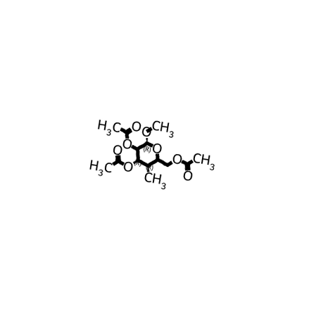 CO[C@@H]1OC(COC(C)=O)[C@@H](C)[C@@H](OC(C)=O)C1OC(C)=O